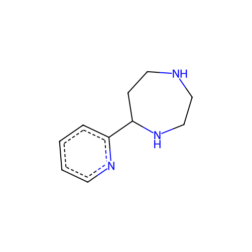 c1ccc(C2CCNCCN2)nc1